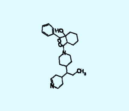 CCC(C1CC=NCC1)C1CCN(C(=O)C2CCCCC2(O)C(=O)c2ccccc2)CC1